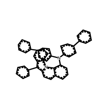 c1ccc(-c2ccc(N(c3ccc(-c4ccccc4)cc3)c3cccc4ccc5c(-c6ccccc6)c6ccccc6n5c34)cc2)cc1